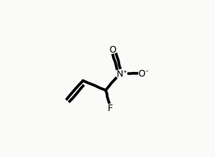 C=CC(F)[N+](=O)[O-]